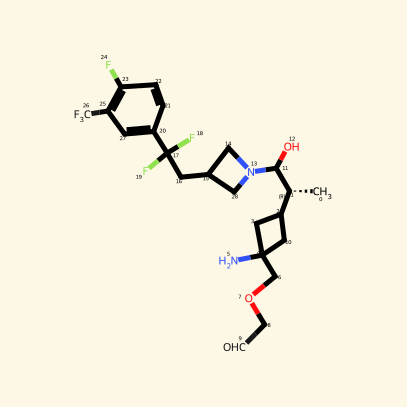 C[C@H](C1CC(N)(COCC=O)C1)C(O)N1CC(CC(F)(F)c2ccc(F)c(C(F)(F)F)c2)C1